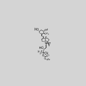 C=C1/C(=C\C=C2/CCC[C@]3(C)[C@@H](C4(/C=C/[C@@H](O)C(C)(C)OC(=O)OCCC)CC4)CC[C@@H]23)C[C@@H](O)C[C@@H]1O